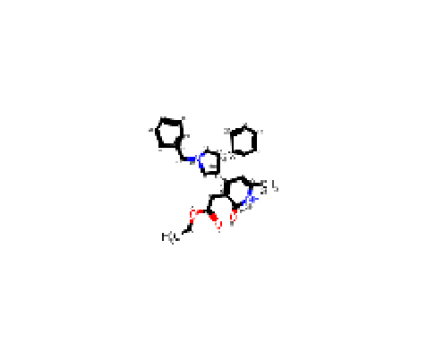 CCOC(=O)Cc1c([C@@H]2CN(Cc3ccccc3)C[C@@H]2c2ccccc2)cc(C)[nH]c1=O